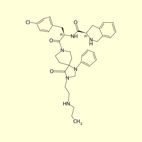 CCCNCCN1CN(c2ccccc2)C2(CCN(C(=O)[C@@H](Cc3ccc(Cl)cc3)NC(=O)[C@H]3Cc4ccccc4CN3)CC2)C1=O